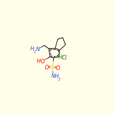 Cl.NCc1c(O)c(S(N)(=O)=O)cc2c1CCC2